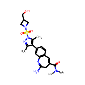 CCCN(CCC)C(=O)C1=Cc2ccc(-c3c(C)nn(S(=O)(=O)N4CC(CO)C4)c3C)cc2N=C(N)C1